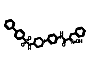 O=C(Nc1ccc(N2CCC(NS(=O)(=O)c3ccc(-c4ccccc4)cc3)CC2)cc1)/C(Cc1ccccc1)=N/O